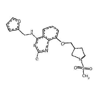 CS(=O)(=O)N1CCC(COc2cccc3c(NCc4ccco4)nc(Cl)nc23)C1